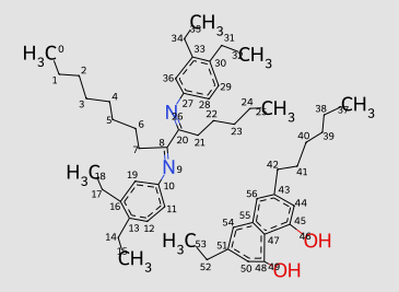 CCCCCCCCC(=Nc1ccc(CC)c(CC)c1)C(CCCCC)=Nc1ccc(CC)c(CC)c1.CCCCCCc1cc(O)c2c(O)cc(CC)cc2c1